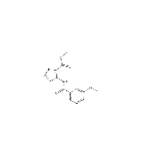 COC(=O)c1sccc1NC(=O)c1cccc(OC)c1